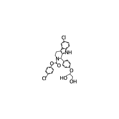 O=C(Oc1ccc(Cl)cc1)N1CCc2c([nH]c3ccc(Cl)cc23)C1c1ccc(OC(CO)CO)cc1